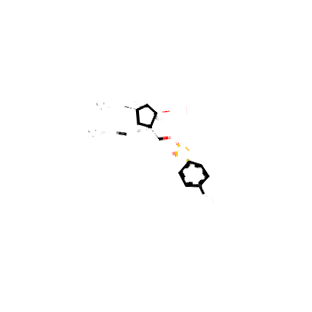 COC[C@H]1[C@H](COS(=O)(=O)c2ccc(C)cc2)[C@H](O)C[C@@H]1OC